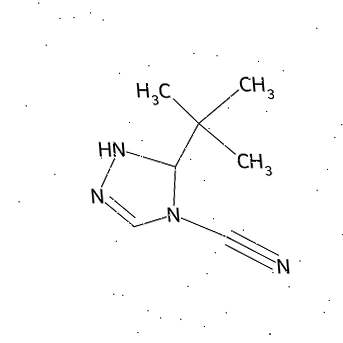 CC(C)(C)C1NN=CN1C#N